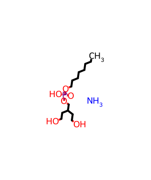 CCCCCCCCOP(=O)(O)OCC(CCO)CCO.N